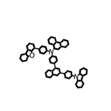 c1ccc2c(-c3ccc(N(c4ccc(-c5cccc6c5oc5ccccc56)cc4)c4cc5ccccc5c5ccccc45)cc3)cc(-c3ccc(-n4c5ccccc5c5ccccc54)cc3)cc2c1